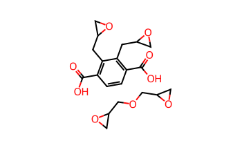 C(OCC1CO1)C1CO1.O=C(O)c1ccc(C(=O)O)c(CC2CO2)c1CC1CO1